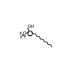 CCCCCCCCCCc1ccc(OC(F)(F)F)c(CO)c1